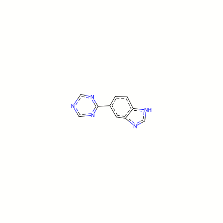 c1ncnc(-c2ccc3[nH]cnc3c2)n1